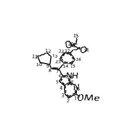 COc1ccc2cc(/C(=C/C3CCCC3)c3ccc(S(C)(=O)=O)cc3)[nH]c2n1